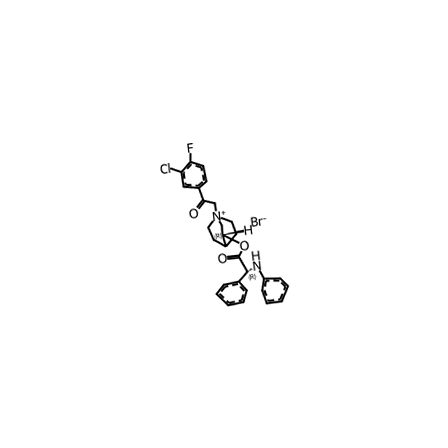 O=C(C[N+]12CCC(CC1)[C@@H](OC(=O)[C@H](Nc1ccccc1)c1ccccc1)C2)c1ccc(F)c(Cl)c1.[Br-]